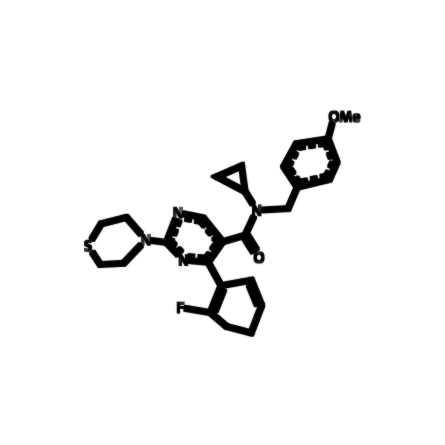 COc1ccc(CN(C(=O)c2cnc(N3CCSCC3)nc2C2=C(F)CCC=C2)C2CC2)cc1